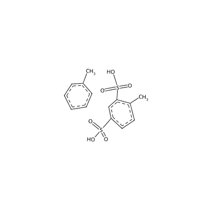 Cc1ccc(S(=O)(=O)O)cc1S(=O)(=O)O.Cc1ccccc1